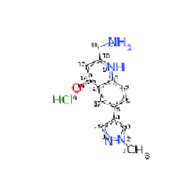 Cl.Cn1cc(-c2ccc3[nH]c(CN)cc(=O)c3c2)cn1